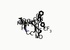 CN(C)C(=O)c1csc(N[C@H]2CCCCC/C=C\[C@@H]3C[C@@]3(C(=O)NS(=O)(=O)C3CC3)NC(=O)[C@@H]3C[C@@H](Oc4nc(-c5ccc(C(F)(F)F)cc5)nc5c4oc4ccccc45)CN3C2=O)n1